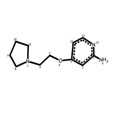 Nc1cc(OCCN2CCCC2)ccn1